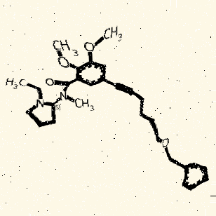 CCN1CCC[C@@H]1N(C)C(=O)c1cc(C#CCCCCOCc2ccccc2)cc(OC)c1OC